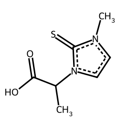 CC(C(=O)O)n1ccn(C)c1=S